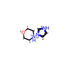 C1COCCN1.c1c[nH]cn1